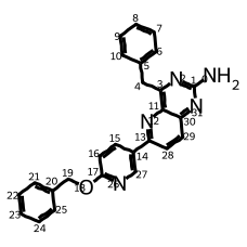 Nc1nc(Cc2ccccc2)c2nc(-c3ccc(OCc4ccccc4)nc3)ccc2n1